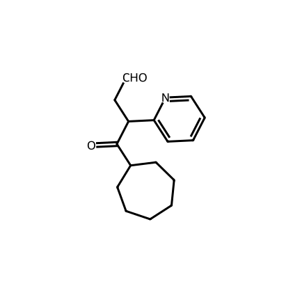 O=CCC(C(=O)C1CCCCCC1)c1ccccn1